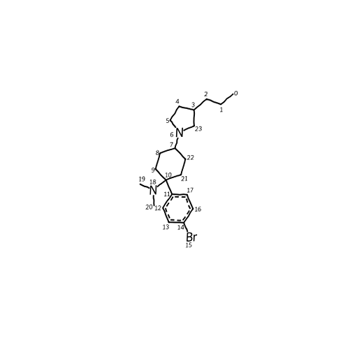 CCCC1CCN(C2CCC(c3ccc(Br)cc3)(N(C)C)CC2)C1